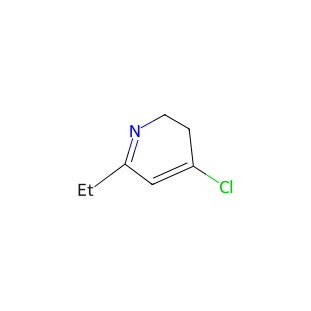 CCC1=NCCC(Cl)=C1